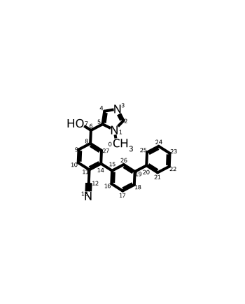 Cn1cncc1C(O)c1ccc(C#N)c(-c2cccc(-c3ccccc3)c2)c1